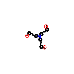 COc1cccc(C=Cc2ccc(N(c3ccc(C=Cc4cccc(OC)c4)cc3)c3ccc(/C=C/c4cccc(OC)c4)cc3)cc2)c1